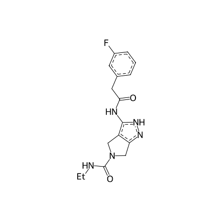 CCNC(=O)N1Cc2n[nH]c(NC(=O)Cc3cccc(F)c3)c2C1